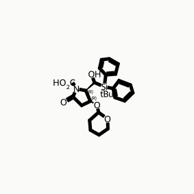 CC(C)(C)[Si](c1ccccc1)(c1ccccc1)C(O)[C@H]1[C@H](OC2CCCCO2)CC(=O)N1C(=O)O